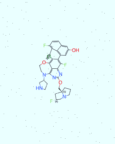 C#Cc1c(F)ccc2cc(O)cc(-c3c(Cl)c4c5c(nc(OC[C@@]67CCCN6C[C@H](F)C7)nc5c3F)N(C3CCNC3)CCO4)c12